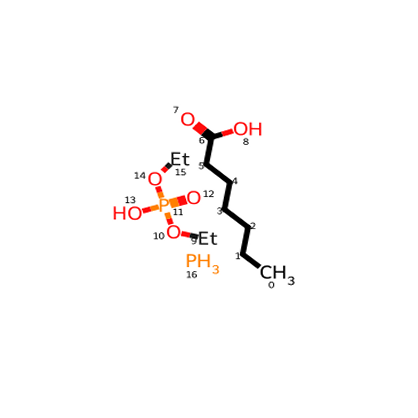 CCCCCCC(=O)O.CCOP(=O)(O)OCC.P